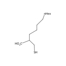 CCCCCCCCCCC(CS)C(=O)O